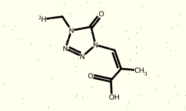 [2H]Cn1nnn(C=C(C)C(=O)O)c1=O